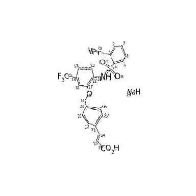 CC(C)c1ccccc1S(=O)(=O)Nc1ccc(C(F)(F)F)cc1OCc1ccc(/C=C/C(=O)O)cc1.[NaH]